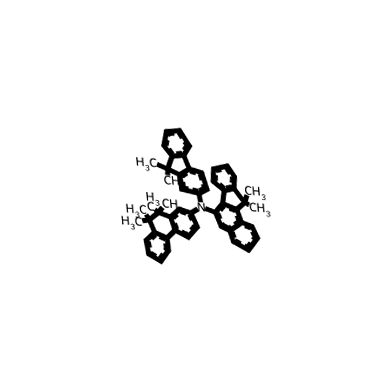 CC1(C)c2ccccc2-c2ccc(N(c3ccc4c(c3)C(C)(C)C(C)(C)c3ccccc3-4)c3cc4ccccc4c4c3-c3ccccc3C4(C)C)cc21